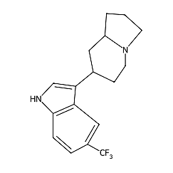 FC(F)(F)c1ccc2[nH]cc(C3CCN4CCCC4C3)c2c1